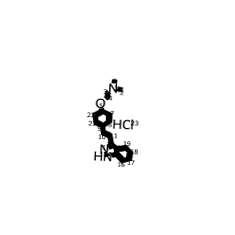 CN(C)CCOc1ccc(/C=C/c2n[nH]c3ccccc23)cc1.Cl